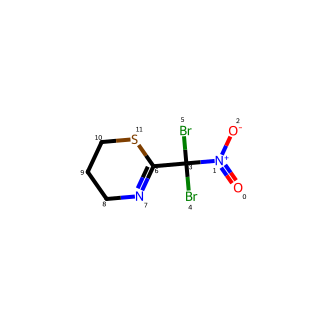 O=[N+]([O-])C(Br)(Br)C1=NCCCS1